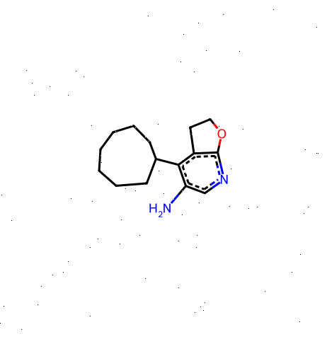 Nc1cnc2c(c1C1CCCCCCC1)CCO2